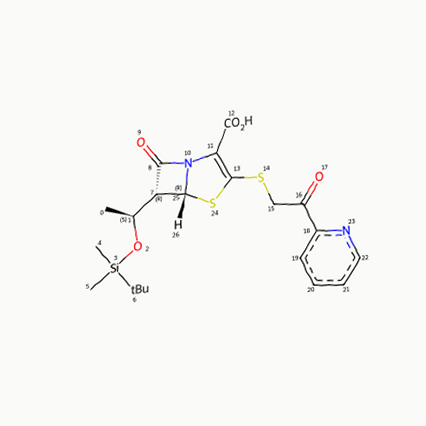 C[C@H](O[Si](C)(C)C(C)(C)C)[C@@H]1C(=O)N2C(C(=O)O)=C(SCC(=O)c3ccccn3)S[C@H]12